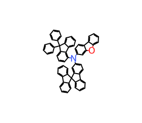 c1ccc(C2(c3ccccc3)c3ccccc3-c3c(N(c4ccc5c(c4)C4(c6ccccc6-c6ccccc64)c4ccccc4-5)c4ccc5c(c4)oc4ccccc45)cccc32)cc1